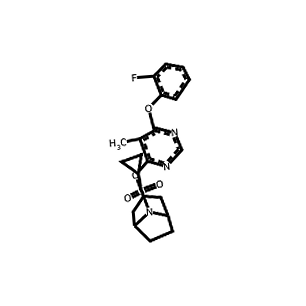 Cc1c(Oc2ccccc2F)ncnc1OC1CC2CCC(C1)N2S(=O)(=O)C1CC1